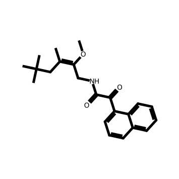 COC(CNC(=O)C(=O)c1cccc2ccccc12)=C(C)CC(C)(C)C